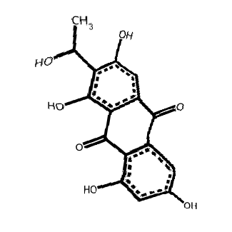 CC(O)c1c(O)cc2c(c1O)C(=O)c1c(O)cc(O)cc1C2=O